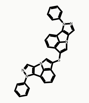 c1ccc(-n2ncc3c2c2cccc4c(Sc5cn6c7cnn(-c8ccccc8)c7c7cccc5c76)cn3c42)cc1